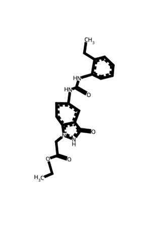 CCOC(=O)Cn1[nH]c(=O)c2cc(NC(=O)Nc3ccccc3CC)ccc21